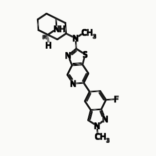 CN(c1nc2cnc(-c3cc(F)c4nn(C)cc4c3)cc2s1)C1CC2CCC[C@H](C1)N2